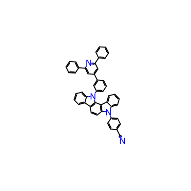 N#Cc1ccc(-n2c3ccccc3c3c2ccc2c4ccccc4n(-c4cccc(-c5cc(-c6ccccc6)nc(-c6ccccc6)c5)c4)c23)cc1